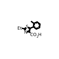 CCc1nc(C(=O)O)c(-c2ccccc2C)s1